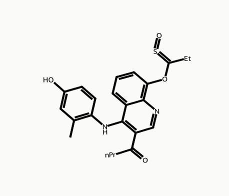 CCCC(=O)c1cnc2c(OC(CC)=S=O)cccc2c1Nc1ccc(O)cc1C